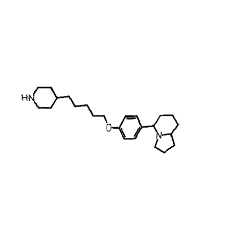 c1cc(C2CCCC3CCCN32)ccc1OCCCCCC1CCNCC1